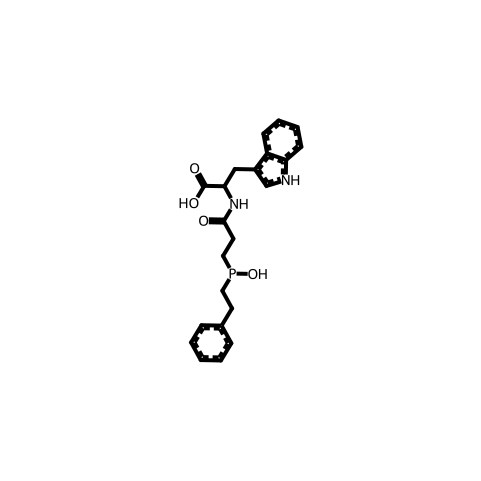 O=C(CCP(O)CCc1ccccc1)NC(Cc1c[nH]c2ccccc12)C(=O)O